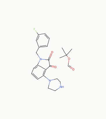 CC(C)(C)OC=O.O=C1C(=O)N(Cc2cccc(F)c2)c2cccc(N3CCNCC3)c21